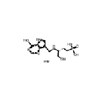 Br.O=P(O)(O)CC[C@H](CO)NCc1c[nH]c2c(O)ncnc12